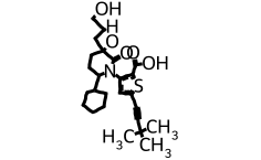 CC(C)(C)C#Cc1cc(N2C(=O)C(O)(CCCO)CCC2C2CCCCC2)c(C(=O)O)s1